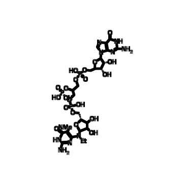 CCN(c1nc(N)[nH]c(=O)c1NC)C1O[C@H](COP(=O)(O)OCC(COP(=O)(O)OCC2OC(n3cnc4c(=O)[nH]c(N)nc43)[C@H](O)[C@@H]2O)OP(=O)(O)O)C(O)C1O